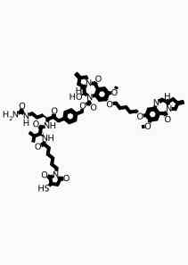 C=C1C[C@H]2C=Nc3cc(OCCCCCOc4cc5c(cc4OC)C(=O)N4CC(=C)C[C@H]4[C@H](O)N5C(=O)OCc4ccc(CC(=O)[C@H](CCCNC(N)=O)NC(=O)[C@@H](NC(=O)CCCCCN5C(=O)CC(S)C5=O)C(C)C)cc4)c(OC)cc3C(=O)N2C1